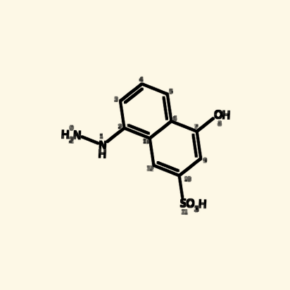 NNc1cccc2c(O)cc(S(=O)(=O)O)cc12